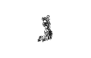 C[C@]12C=CC(=O)N[C@@H]1CC[C@@H]1[C@@H]2CC[C@]2(C)[C@@H](C(=O)NC(c3ccc(C(F)(F)F)cc3)(C(F)(F)F)C(F)(F)F)CC[C@@H]12